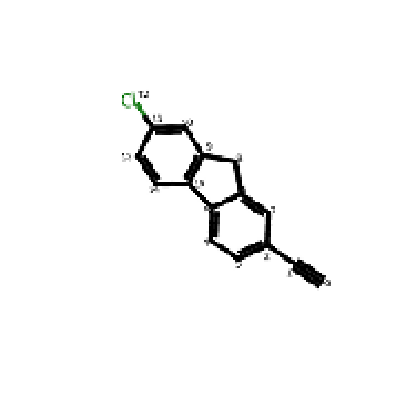 C#Cc1ccc2c(c1)Cc1cc(Cl)ccc1-2